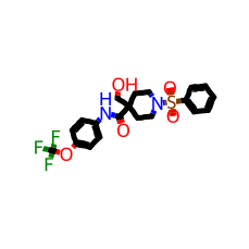 O=C(Nc1ccc(OC(F)(F)F)cc1)C1(CO)CCN(S(=O)(=O)c2ccccc2)CC1